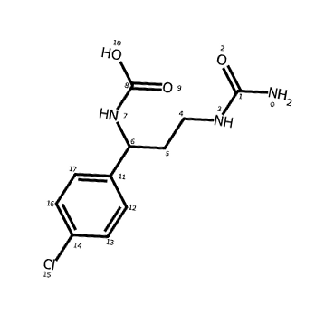 NC(=O)NCCC(NC(=O)O)c1ccc(Cl)cc1